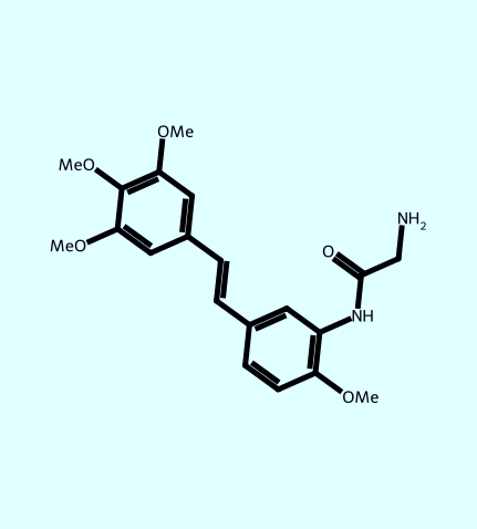 COc1ccc(C=Cc2cc(OC)c(OC)c(OC)c2)cc1NC(=O)CN